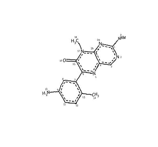 CNc1ncc2nc(-c3cc(N)ccc3C)c(=O)n(C)c2n1